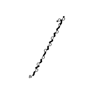 COC(COCCOCCOCCOCCOCCOCCOCCOCCBr)OC